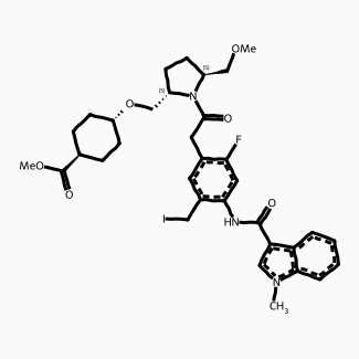 COC[C@@H]1CC[C@@H](CO[C@H]2CC[C@H](C(=O)OC)CC2)N1C(=O)Cc1cc(CI)c(NC(=O)c2cn(C)c3ccccc23)cc1F